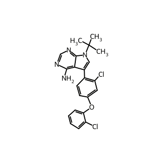 CC(C)(C)n1cc(-c2ccc(Oc3ccccc3Cl)cc2Cl)c2c(N)ncnc21